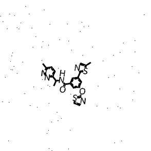 Cc1ccc(C(C)NC(=O)c2cc(Oc3nccs3)cc(-c3ncc(C)s3)c2)nn1